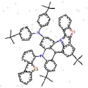 CC(C)(C)c1ccc(N(c2ccc(C(C)(C)C)cc2)c2cc3c4c(c2)-n2c5c(cc(C(C)(C)C)cc5c5oc6ccccc6c52)B4c2ccc(C(C)(C)C)cc2N3c2cccc3c2sc2ccccc23)cc1